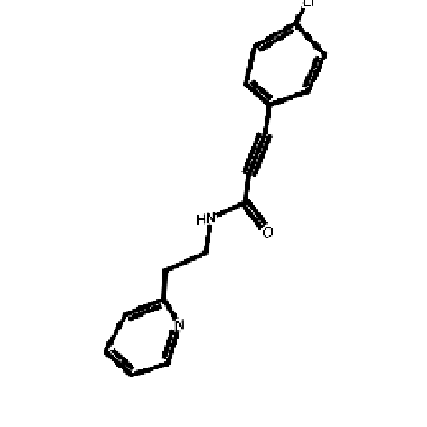 O=C(C#Cc1ccc(Cl)cc1)NCCc1ccccn1